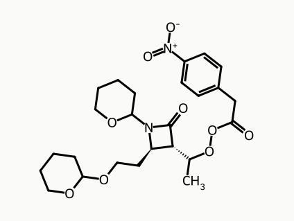 CC(OOC(=O)Cc1ccc([N+](=O)[O-])cc1)[C@H]1C(=O)N(C2CCCCO2)[C@@H]1CCOC1CCCCO1